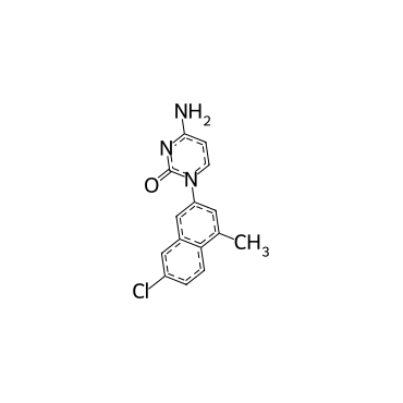 Cc1cc(-n2ccc(N)nc2=O)cc2cc(Cl)ccc12